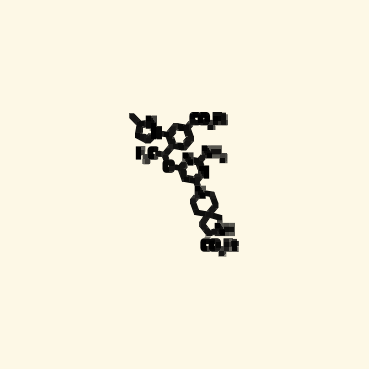 CCOC(=O)c1ccc([C@@H](Oc2cc(N3CCC4(CC3)CN[C@H](C(=O)OCC)C4)nc(N)n2)C(F)(F)F)c(-n2ccc(C)n2)c1